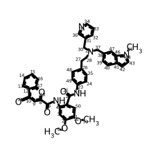 COc1cc(NC(=O)c2cc(=O)c3ccccc3o2)c(C(=O)Nc2ccc(CCN(Cc3cccnc3)Cc3ccc4ccn(C)c4c3)cc2)cc1OC